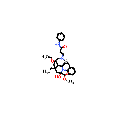 CCOCC1C2=CC3CN(/C=C/C(=O)Nc4ccccc4)CCCC1(CC)CC(O)(C(=O)OC)N2c1ccccc13